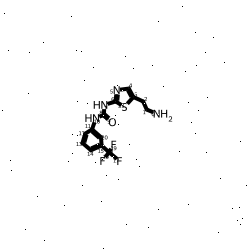 NCCc1cnc(NC(=O)Nc2cccc(C(F)(F)F)c2)s1